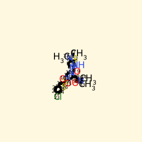 CC1SC2=C(CCN(C(=O)N3CCN(S(=O)(=O)c4cc5ccc(Cl)cc5s4)CC3CC(=O)N(C)C)N2)N1C